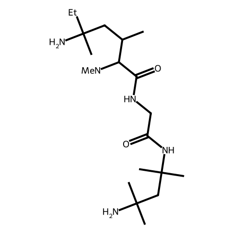 CCC(C)(N)CC(C)C(NC)C(=O)NCC(=O)NC(C)(C)CC(C)(C)N